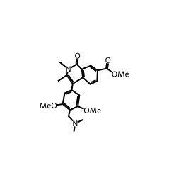 COC(=O)c1ccc2c(-c3cc(OC)c(CN(C)C)c(OC)c3)c(C)n(C)c(=O)c2c1